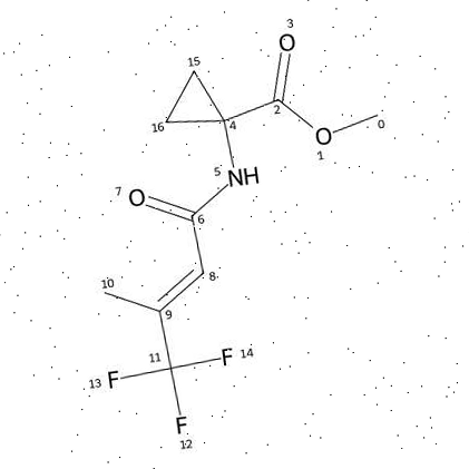 COC(=O)C1(NC(=O)/C=C(\C)C(F)(F)F)CC1